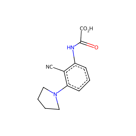 N#Cc1c(NC(=O)C(=O)O)cccc1N1CCCC1